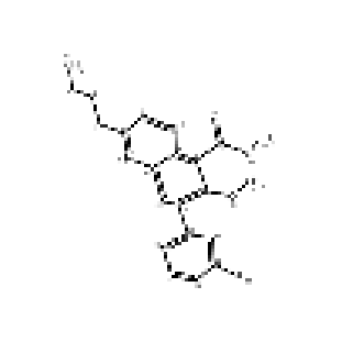 CCCCc1cnc2c(C(=O)OC)c(OC)c(-c3cccc(F)c3)cc2n1